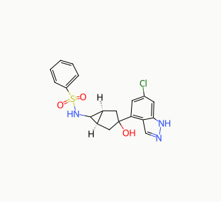 O=S(=O)(NC1[C@H]2CC(O)(c3cc(Cl)cc4[nH]ncc34)C[C@@H]12)c1ccccc1